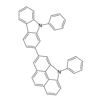 c1ccc(-n2c3ccccc3c3ccc(-c4cc5ccc6cccc7c6c5c(c4)n7-c4ccccc4)cc32)cc1